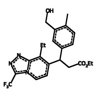 CCOC(=O)CC(c1ccc(C)c(CO)c1)c1ccn2c(C(F)(F)F)nnc2c1CC